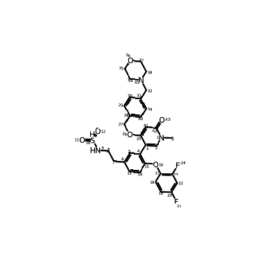 Cn1cc(-c2cc(CCN[SH](=O)=O)ccc2Oc2ccc(F)cc2F)c(OCc2ccc(CN3CCOCC3)cc2)cc1=O